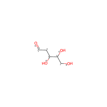 O=[C]CC(O)C(O)CO